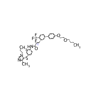 CCCCOCCOc1ccc(-c2ccc(C(F)(F)F)c(/C=C/C(=O)Nc3ccc(Sc4c(C)ncn4CCC)cc3)c2)cc1